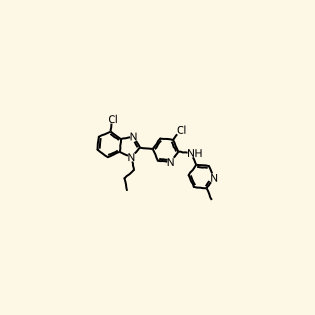 CCCn1c(-c2cnc(Nc3ccc(C)nc3)c(Cl)c2)nc2c(Cl)cccc21